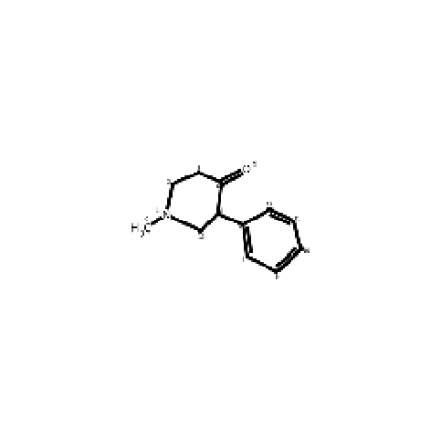 CN1CCC(=O)C(c2ccccc2)C1